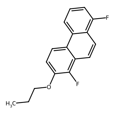 CCCOc1ccc2c(ccc3c(F)cccc32)c1F